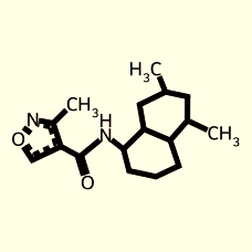 Cc1nocc1C(=O)NC1CCCC2C(C)CC(C)CC12